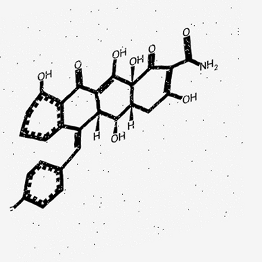 NC(=O)C1=C(O)C[C@@H]2[C@@H](O)[C@H]3C(=C(O)[C@]2(O)C1=O)C(=O)c1c(O)cccc1/C3=C\c1ccc(F)cc1